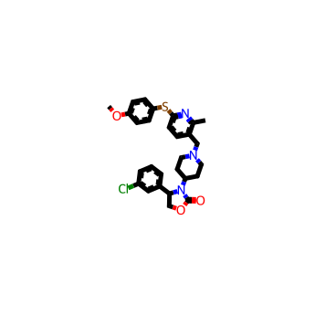 COc1ccc(Sc2ccc(CN3CCC(N4C(=O)OCC4c4cccc(Cl)c4)CC3)c(C)n2)cc1